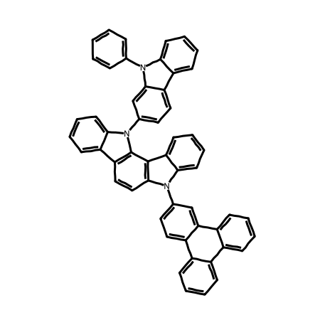 c1ccc(-n2c3ccccc3c3ccc(-n4c5ccccc5c5ccc6c(c7ccccc7n6-c6ccc7c8ccccc8c8ccccc8c7c6)c54)cc32)cc1